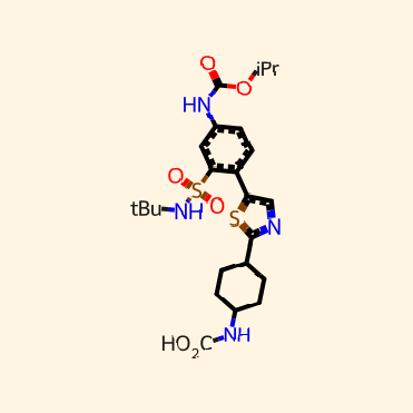 CC(C)OC(=O)Nc1ccc(-c2cnc(C3CCC(NC(=O)O)CC3)s2)c(S(=O)(=O)NC(C)(C)C)c1